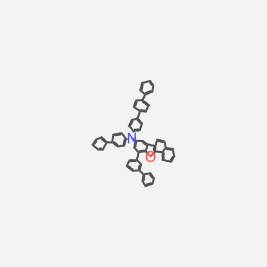 c1ccc(-c2ccc(-c3ccc(N(c4ccc(-c5ccccc5)cc4)c4cc(-c5cccc(-c6ccccc6)c5)c5oc6c7ccccc7ccc6c5c4)cc3)cc2)cc1